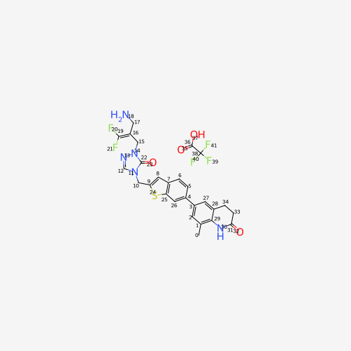 Cc1cc(-c2ccc3cc(Cn4cnn(CC(CN)=C(F)F)c4=O)sc3c2)cc2c1NC(=O)CC2.O=C(O)C(F)(F)F